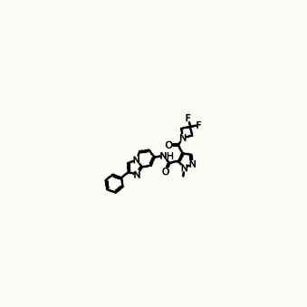 Cn1ncc(C(=O)N2CC(F)(F)C2)c1C(=O)Nc1ccn2cc(-c3ccccc3)nc2c1